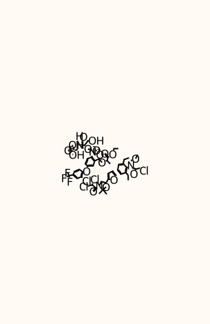 CC1(C)OC(c2ccco2)CN1C(=O)C(Cl)Cl.CCOC(=O)C(C)OC(=O)c1cc(Oc2ccc(C(F)(F)F)cc2Cl)ccc1[N+](=O)[O-].CCc1cccc(CC)c1N(COC)C(=O)CCl.O=C(O)CNCP(=O)(O)O